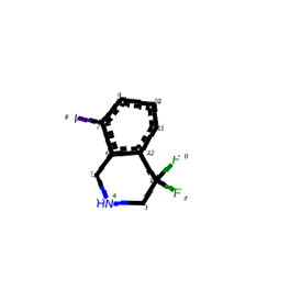 FC1(F)CNCc2c(I)cccc21